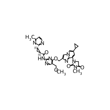 COCc1cnc(NC(=O)[C@H]2C[C@@H]2c2nccc(C)n2)nc1OCc1cn2cc(C3CC3)cc(N3CC(=O)N(C)C3=O)c2n1